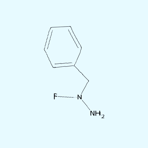 NN(F)Cc1ccccc1